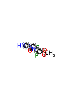 CS(=O)(=O)c1cc(F)c(CN2CCCN(C3CCNCC3)C2=O)c(F)c1